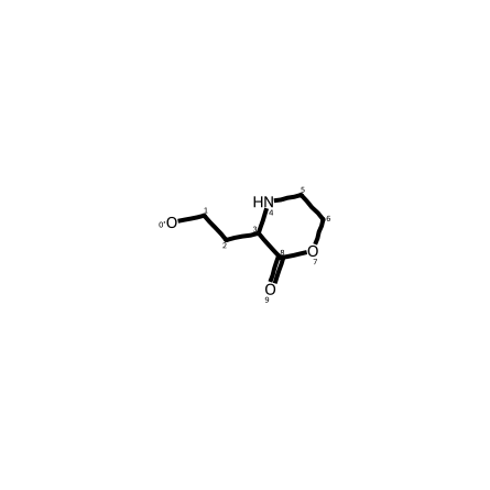 [O]CCC1NCCOC1=O